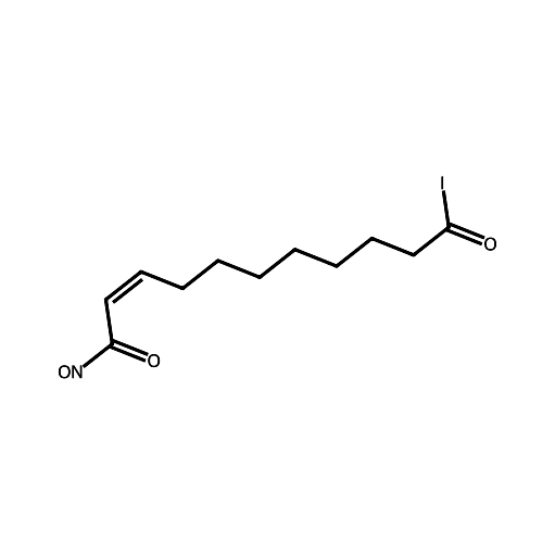 O=NC(=O)/C=C\CCCCCCCC(=O)I